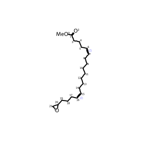 COC(=O)CCC/C=C\CCCCCCC/C=C\CCCC1CO1